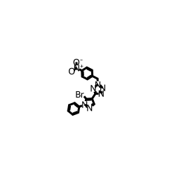 O=[N+]([O-])c1ccc(Cn2nnc(-c3cnn(-c4ccccc4)c3Br)n2)cc1